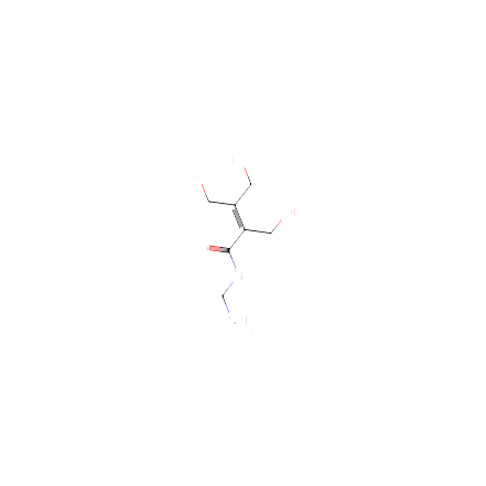 NCNC(=O)C(CO)=C(CO)CO